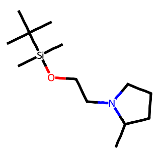 CC1CCCN1CCO[Si](C)(C)C(C)(C)C